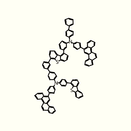 c1ccc(-c2ccc(N(c3ccc(-c4cc5c6ccccc6ccc5c5ccccc45)cc3)c3cccc(-c4cccc5sc6c(-c7cccc(-c8ccc(N(c9ccc(-c%10cc%11c%12ccccc%12ccc%11c%11ccccc%10%11)cc9)c9ccc(-c%10cccc%11c%10sc%10ccccc%10%11)cc9)cc8)c7)cccc6c45)c3)cc2)cc1